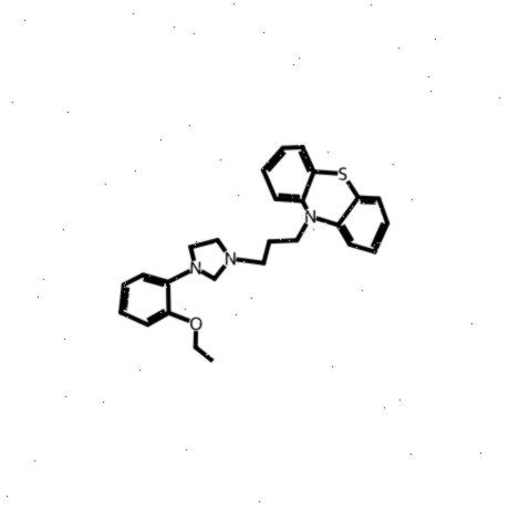 CCOc1ccccc1N1CCN(CCCN2c3ccccc3Sc3ccccc32)C1